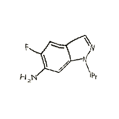 CC(C)n1ncc2cc(F)c(N)cc21